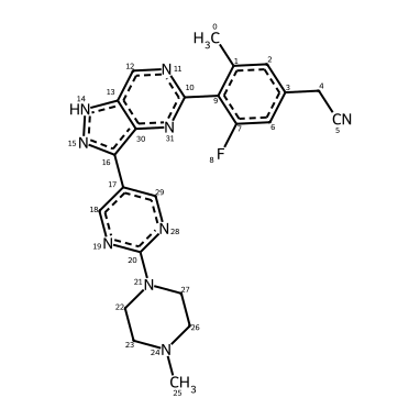 Cc1cc(CC#N)cc(F)c1-c1ncc2[nH]nc(-c3cnc(N4CCN(C)CC4)nc3)c2n1